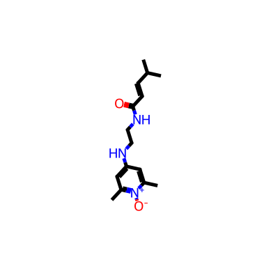 Cc1cc(NCCNC(=O)C=CC(C)C)cc(C)[n+]1[O-]